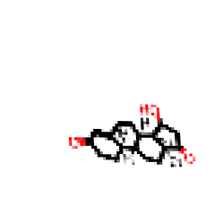 CC[C@]12CC[C@H]3[C@@H](CCC4=CC(=O)CC[C@@H]43)[C@@H]1C(O)CC2=O